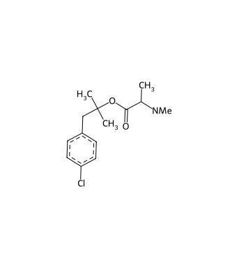 CNC(C)C(=O)OC(C)(C)Cc1ccc(Cl)cc1